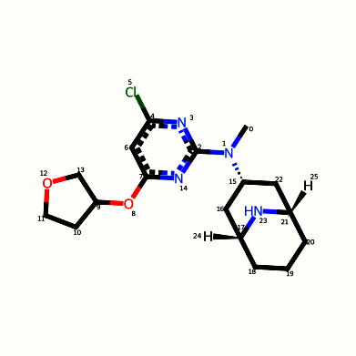 CN(c1nc(Cl)cc(OC2CCOC2)n1)[C@H]1C[C@H]2CCC[C@@H](C1)N2